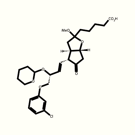 COC1(CCCCC(=O)O)C[C@H]2[C@@H](CC(=O)[C@@H]2/C=C/[C@H](COc2cccc(Cl)c2)OC2CCCCO2)O1